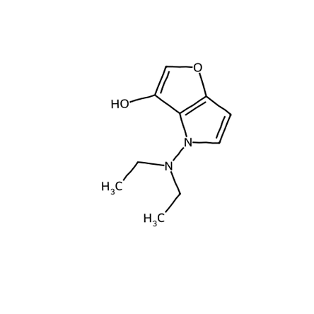 CCN(CC)n1ccc2occ(O)c21